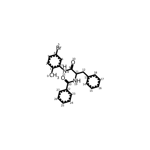 Cc1ccc(Br)cc1NC(=O)C(Cc1ccccc1)NC(=O)c1ccccc1